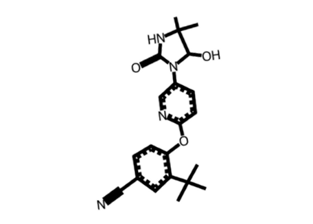 CC(C)(C)c1cc(C#N)ccc1Oc1ccc(N2C(=O)NC(C)(C)C2O)cn1